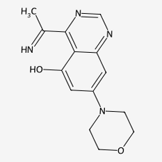 CC(=N)c1ncnc2cc(N3CCOCC3)cc(O)c12